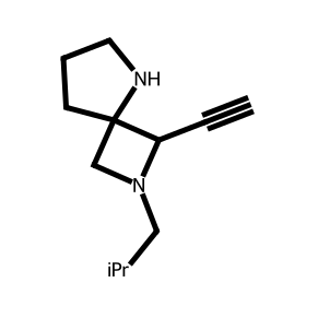 C#CC1N(CC(C)C)CC12CCCN2